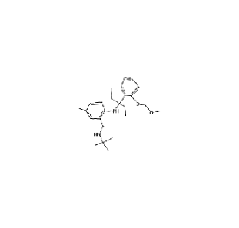 CCC(CC)(Pc1ccc(C)cc1CNC(C)(C)C)c1ccccc1OCOC